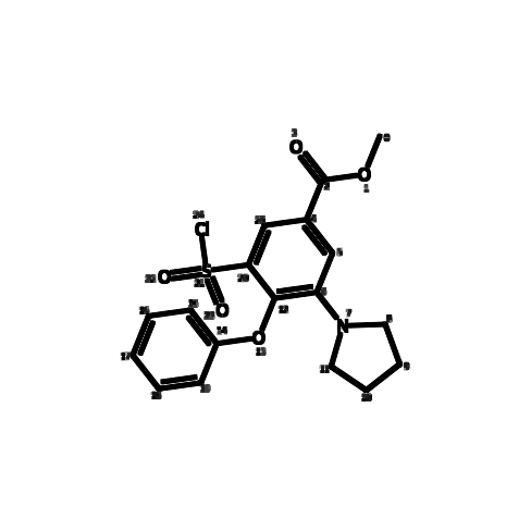 COC(=O)c1cc(N2CCCC2)c(Oc2ccccc2)c(S(=O)(=O)Cl)c1